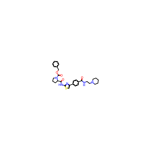 O=C(NCCN1CCCCC1)c1ccc(-c2csc(NC(=O)C3CCCN3C(=O)OCc3ccccc3)n2)cc1